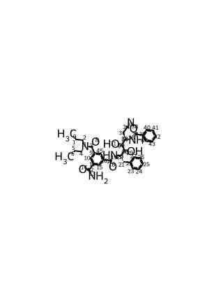 CCCN(CCC)C(=O)c1cc(C(N)=O)cc(C(=O)N[C@@H](Cc2ccccc2)[C@@H](O)[C@H](O)[C@@H](CC#N)NC(=O)c2ccccc2)c1